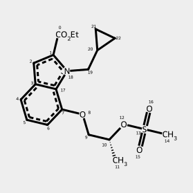 CCOC(=O)c1cc2cccc(OC[C@@H](C)OS(C)(=O)=O)c2n1CC1CC1